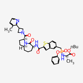 CCCCOC(=O)[C@H](C)NP(=O)(Cc1ccc2sc(C(=O)N[C@H]3CCC[C@H]4CC[C@@H](C(=O)N5CC(c6ncccc6C)C5)N4C3=O)cc2c1)Oc1ccccc1